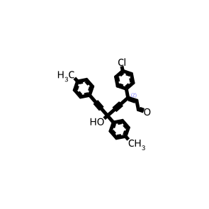 Cc1ccc(C#CC(O)(C#C/C(=C\C=O)c2ccc(Cl)cc2)c2ccc(C)cc2)cc1